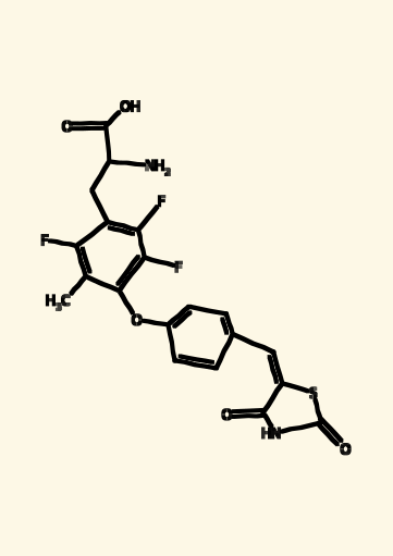 Cc1c(F)c(CC(N)C(=O)O)c(F)c(F)c1Oc1ccc(C=C2SC(=O)NC2=O)cc1